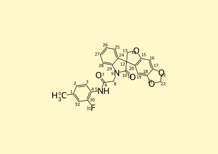 Cc1ccc(NC(=O)CN2C(=O)C3(COc4cc5c(cc43)OCO5)c3ccccc32)c(F)c1